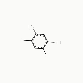 Nc1cc(N)c(Cl)cc1Cl